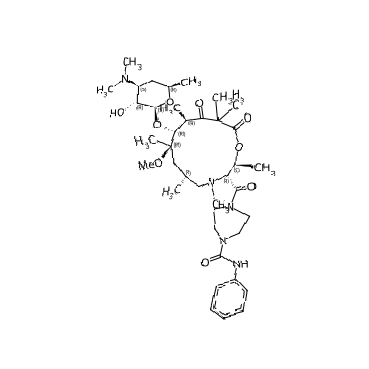 CO[C@]1(C)C[C@@H](C)CN(C)[C@@H](C(=O)N2CCN(C(=O)Nc3ccccc3)CC2)[C@H](C)OC(=O)C(C)(C)C(=O)[C@H](C)[C@H]1O[C@@H]1O[C@H](C)C[C@H](N(C)C)[C@H]1O